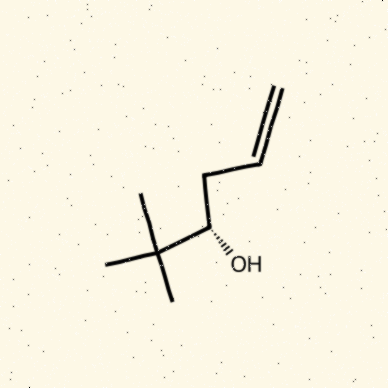 C=CC[C@H](O)C(C)(C)C